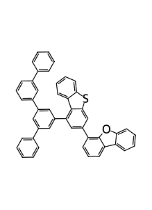 c1ccc(-c2cccc(-c3cc(-c4ccccc4)cc(-c4cc(-c5cccc6c5oc5ccccc56)cc5sc6ccccc6c45)c3)c2)cc1